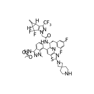 C=C1[C@@H]2c3c(C(F)(F)F)nn(CC(=O)N[C@@H](Cc4cc(F)cc(F)c4)c4nc5nc(N6CC7(CCNCC7)C6)sc5cc4-c4cccc5c(NS(C)(=O)=O)nn(C)c45)c3C(F)(F)[C@H]12